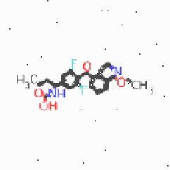 CCCC(NC(=O)O)c1cc(F)c(C(=O)c2cccc3c(OCC)nccc23)c(F)c1